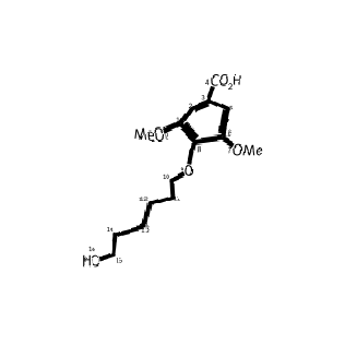 COc1cc(C(=O)O)cc(OC)c1OCCCCCCO